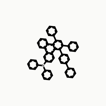 c1ccc(-c2ccc(-c3c(-c4ccccc4)cc(-c4ccccc4)c4c5ccccc5c5cc(N(c6ccccc6)c6ccccc6)ccc5c34)cc2)cc1